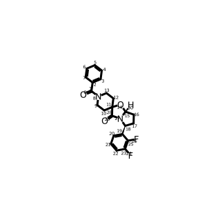 O=C(c1ccccc1)N1CCC2(CC1)O[C@@H]1CC[C@@H](c3cccc(F)c3F)N1C2=O